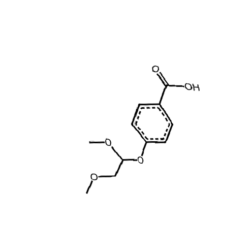 COCC(OC)Oc1ccc(C(=O)O)cc1